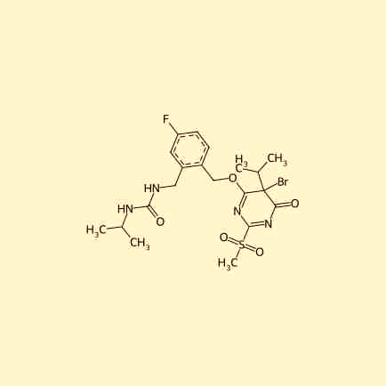 CC(C)NC(=O)NCc1cc(F)ccc1COC1=NC(S(C)(=O)=O)=NC(=O)C1(Br)C(C)C